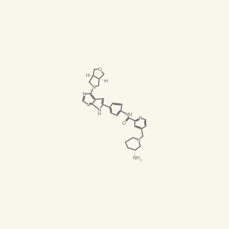 N[C@@H]1CCCN(Cc2ccnc(C(=O)Nc3ccc(-c4cc5c(N6C[C@H]7COC[C@H]7C6)ncnc5[nH]4)cc3)c2)C1